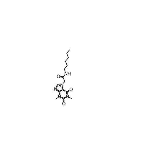 CCCCCCNC(=O)Cn1cnc2c1c(=O)n(C)c(=O)n2C